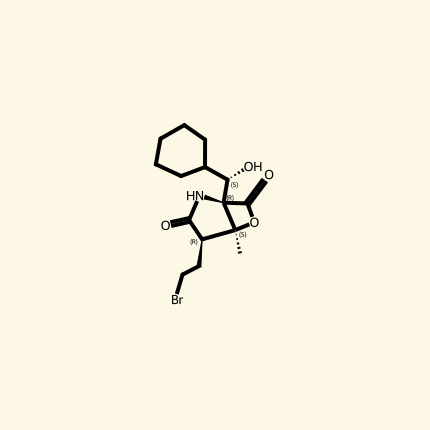 C[C@@]12OC(=O)[C@]1([C@@H](O)C1CCCCC1)NC(=O)[C@@H]2CCBr